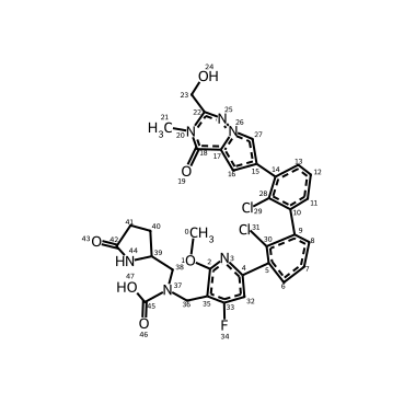 COc1nc(-c2cccc(-c3cccc(-c4cc5c(=O)n(C)c(CO)nn5c4)c3Cl)c2Cl)cc(F)c1CN(CC1CCC(=O)N1)C(=O)O